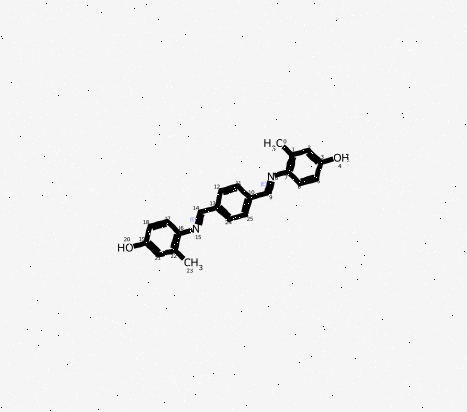 Cc1cc(O)ccc1/N=C/c1ccc(/C=N/c2ccc(O)cc2C)cc1